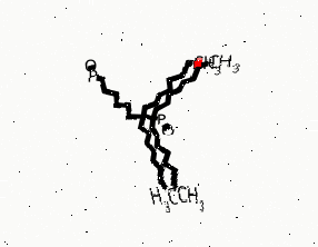 CCCCCCCCC(CCCCCCCC)(CCCCCCP=O)C(CCCCCCCC)(CCCCCCCC)P=O